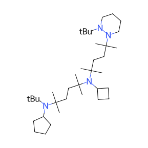 CC(C)(C)N1CCCCN1C(C)(C)CCC(C)(C)N(C1CCC1)C(C)(C)CCC(C)(C)N(C1CCCC1)C(C)(C)C